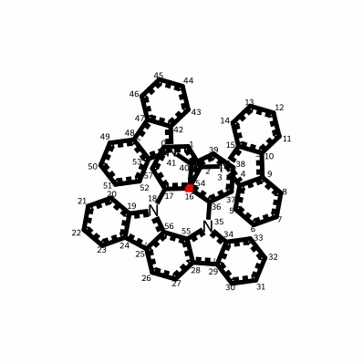 c1cc(-n2c3ccccc3c3ccccc32)cc(-n2c3ccccc3c3ccc4c5ccccc5n(-c5cccc(-n6c7ccccc7c7ccccc76)c5)c4c32)c1